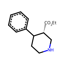 CCOC(=O)[C@@H]1CNCCC1c1ccccc1